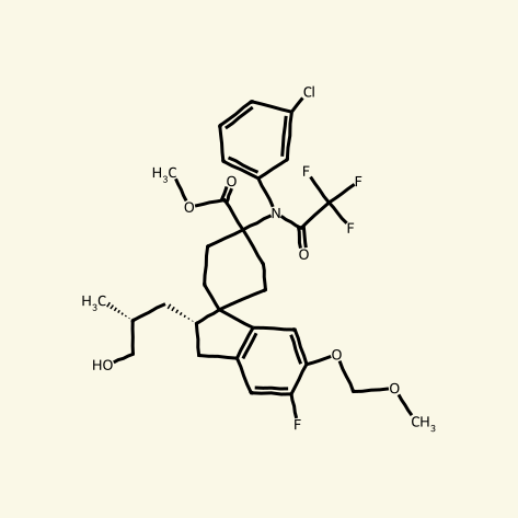 COCOc1cc2c(cc1F)C[C@H](C[C@@H](C)CO)C21CCC(C(=O)OC)(N(C(=O)C(F)(F)F)c2cccc(Cl)c2)CC1